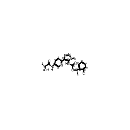 C[C@H](O)C(=O)Nc1ccc(-c2nnn(C)c2NC(=O)O[C@H](C)c2ccccc2Cl)nc1